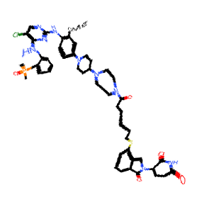 COc1cc(N2CCC(N3CCN(C(=O)CCCCCSc4cccc5c4CN(C4CCC(=O)NC4=O)C5=O)CC3)CC2)ccc1Nc1ncc(Cl)c(Nc2ccccc2P(C)(C)=O)n1